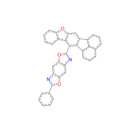 c1ccc(-c2nc3cc4oc(-c5c6c(cc7oc8ccccc8c57)-c5cccc7cccc-6c57)nc4cc3o2)cc1